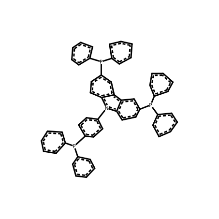 c1ccc(P(c2ccccc2)c2ccc(-n3c4ccc(P(c5ccccc5)c5ccccc5)cc4c4cc(P(c5ccccc5)c5ccccc5)ccc43)cc2)cc1